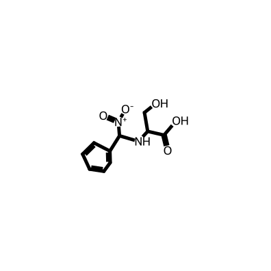 O=C(O)C(CO)NC(c1ccccc1)[N+](=O)[O-]